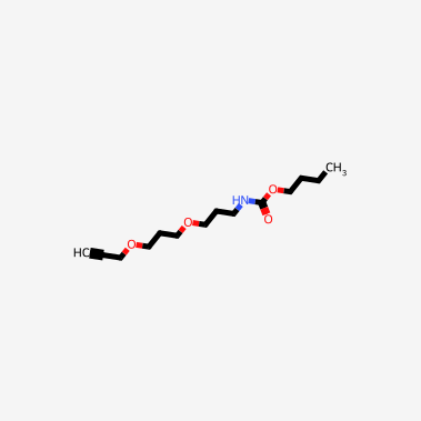 C#CCOCCCOCCCNC(=O)OCCCC